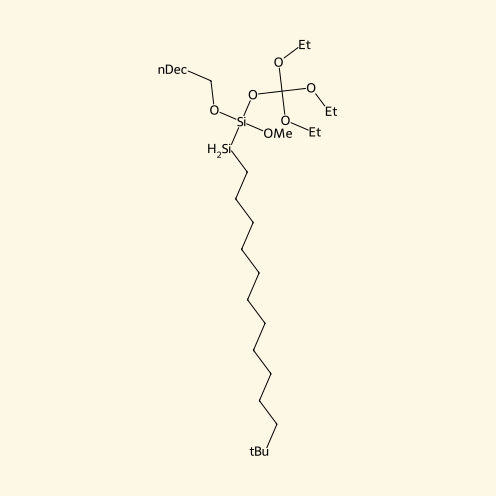 CCCCCCCCCCCO[Si](OC)(OC(OCC)(OCC)OCC)[SiH2]CCCCCCCCCCCC(C)(C)C